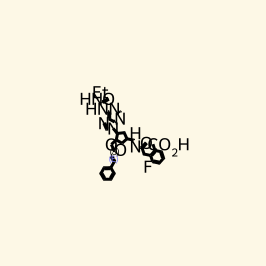 CCNC(=O)Nc1ncnc2c1ncn2C1CC(CNC(=O)Cc2c(F)cccc2C(=O)O)C2O[C@H](/C=C/c3ccccc3)OC21